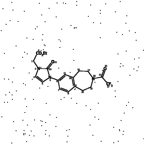 CCOC(=O)Cn1ccn(-c2ccc3c(c2)CCN(C(=O)C(F)(F)F)CC3)c1=O